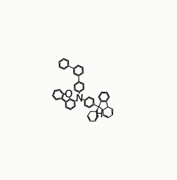 C1=CCC(C2(c3ccc(N(c4ccc(-c5cccc(-c6ccccc6)c5)cc4)c4cccc5c4oc4ccccc45)cc3)c3ccccc3C3C=CC=C[C@H]32)C=C1